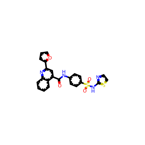 O=C(Nc1ccc(S(=O)(=O)Nc2nccs2)cc1)c1cc(-c2ccco2)nc2ccccc12